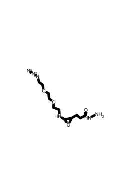 [N-]=[N+]=NCCOCCOCCNC1OC1CCC(=O)NN